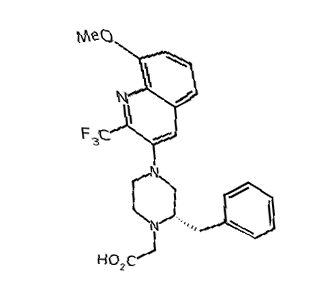 COc1cccc2cc(N3CCN(CC(=O)O)[C@@H](Cc4ccccc4)C3)c(C(F)(F)F)nc12